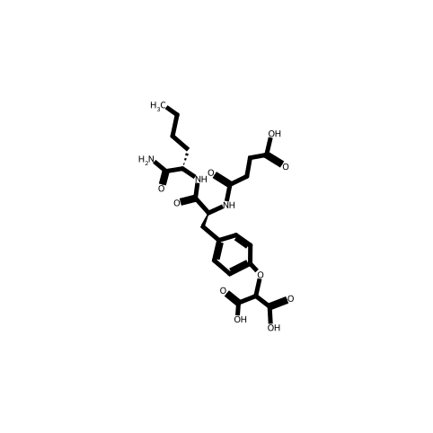 CCCC[C@H](NC(=O)[C@H](Cc1ccc(OC(C(=O)O)C(=O)O)cc1)NC(=O)CCC(=O)O)C(N)=O